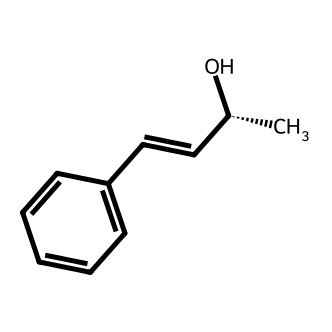 C[C@@H](O)/C=C/c1ccccc1